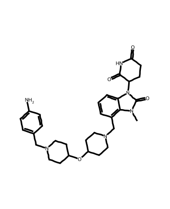 Cn1c(=O)n(C2CCC(=O)NC2=O)c2cccc(CN3CCC(OC4CCN(Cc5ccc(N)cc5)CC4)CC3)c21